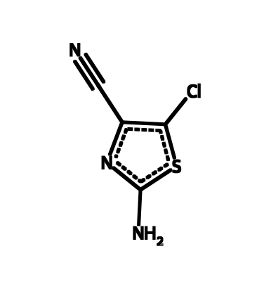 N#Cc1nc(N)sc1Cl